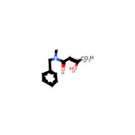 CN(Cc1ccccc1)C(=O)C=C(O)C(=O)O